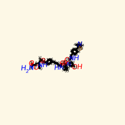 CC(=O)N[C@@H](CCC(N)=O)[C@@H](C)OCc1ccc(CCCCC(=O)N[C@H](C(=O)N2C[C@H](O)C[C@H]2C(=O)NCc2ccc(-c3scnc3C)cc2)C(C)(C)C)cc1